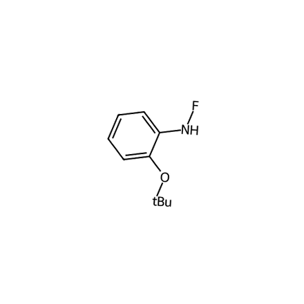 CC(C)(C)Oc1ccccc1NF